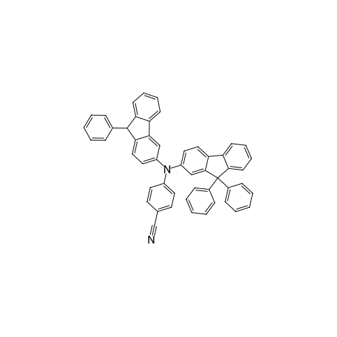 N#Cc1ccc(N(c2ccc3c(c2)-c2ccccc2C3c2ccccc2)c2ccc3c(c2)C(c2ccccc2)(c2ccccc2)c2ccccc2-3)cc1